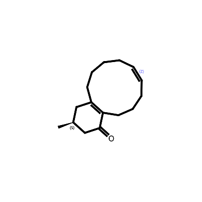 C[C@@H]1CC(=O)C2=C(CCCC/C=C\CCC2)C1